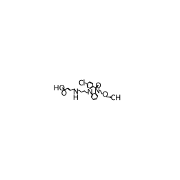 C#CCOCCN1C(=O)c2ccc(Cl)cc2N(CCCCNC/C=C/C(=O)O)c2ccccc21